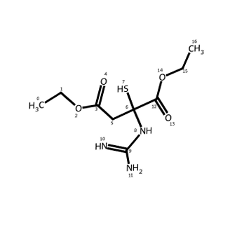 CCOC(=O)CC(S)(NC(=N)N)C(=O)OCC